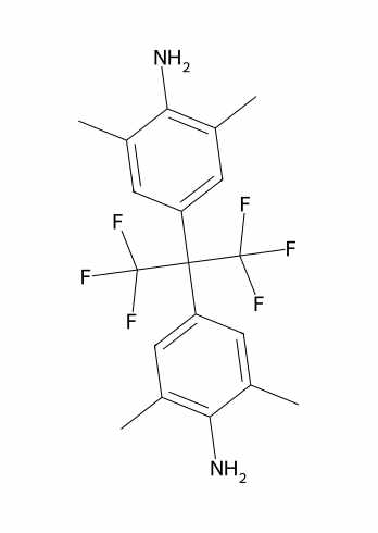 Cc1cc(C(c2cc(C)c(N)c(C)c2)(C(F)(F)F)C(F)(F)F)cc(C)c1N